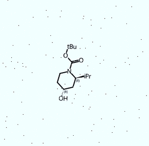 CC(C)[C@H]1C[C@H](O)CCN1C(=O)OC(C)(C)C